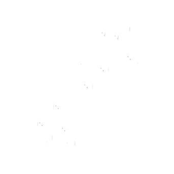 Cn1ncc(NC(=O)NCCNC(NC(=O)O)NC(=O)O)c1N